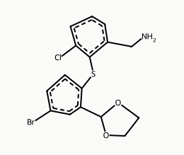 NCc1cccc(Cl)c1Sc1ccc(Br)cc1C1OCCO1